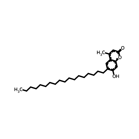 CCCCCCCCCCCCCCCCCCc1cc2c(C)cc(=O)oc2cc1O